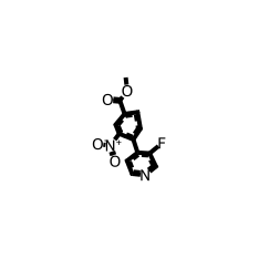 COC(=O)c1ccc(-c2ccncc2F)c([N+](=O)[O-])c1